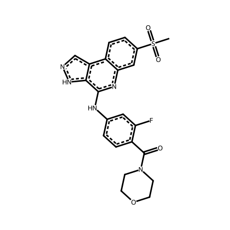 CS(=O)(=O)c1ccc2c(c1)nc(Nc1ccc(C(=O)N3CCOCC3)c(F)c1)c1[nH]ncc12